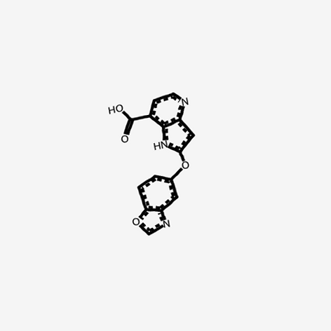 O=C(O)c1ccnc2cc(Oc3ccc4ocnc4c3)[nH]c12